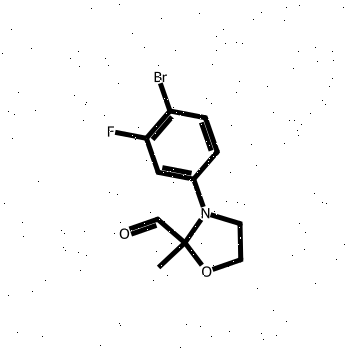 CC1(C=O)OCCN1c1ccc(Br)c(F)c1